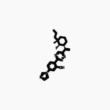 C=C(c1cnc(-c2ccc(-n3ccnc3)cc2O)nn1)[C@H]1CCC[C@@](C)(CCC)[C@H]1F